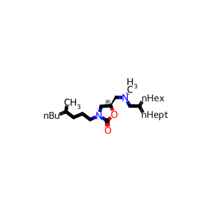 CCCCCCCC(CCCCCC)CN(C)C[C@@H]1CN(CCCC(C)CCCC)C(=O)O1